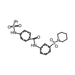 CC(C)S(=O)(=O)Nc1ccc(C(=O)Nc2cccc(S(=O)(=O)N3CCCCC3)c2)cc1